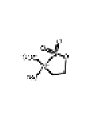 CC(C)(C)[N+]1(C(=O)[O-])CCOS1(=O)=O